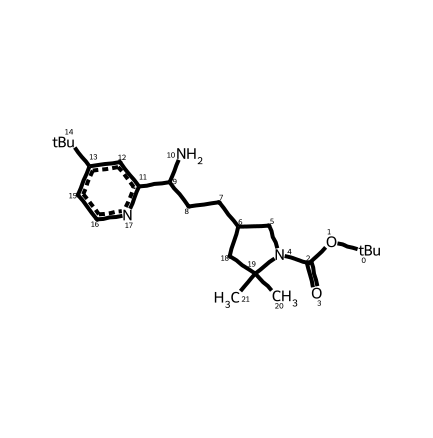 CC(C)(C)OC(=O)N1CC(CCC(N)c2cc(C(C)(C)C)ccn2)CC1(C)C